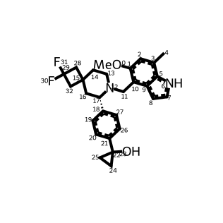 COc1cc(C)c2[nH]ccc2c1CN1CCC2(C[C@H]1c1ccc(C3(O)CC3)cc1)CC(F)(F)C2